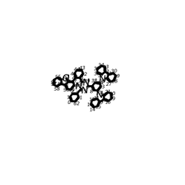 c1ccc(-c2nc(-c3cc(-n4c5ccccc5c5ccccc54)cc(-n4c5ccccc5c5ccccc54)c3)nc(-c3ccccc3-c3cccc4c3oc3ccccc34)n2)cc1